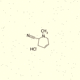 CN1CC=CCC1C#N.Cl